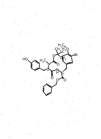 COc1ccc(C[C@H](NC(=O)[C@@H](Cc2ccc(O)cc2)N(C)C(=O)OC(C)(C)C)C(=O)OCc2ccccc2)cc1Br